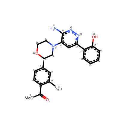 COC(=O)c1ccc([C@@H]2CN(c3cc(-c4ccccc4O)nnc3N)CCO2)cc1C